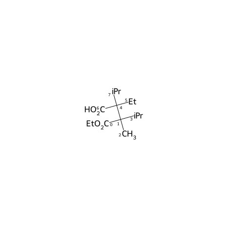 CCOC(=O)C(C)(C(C)C)C(CC)(C(=O)O)C(C)C